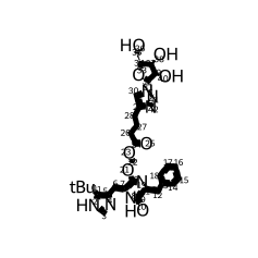 CC(C)(C)c1[nH]cnc1/C=c1\[nH]c(=O)/c(=C/c2ccccc2)nc1OCOC(=O)CCCc1cn([C@@H]2O[C@H](CO)[C@@H](O)[C@H]2O)nn1